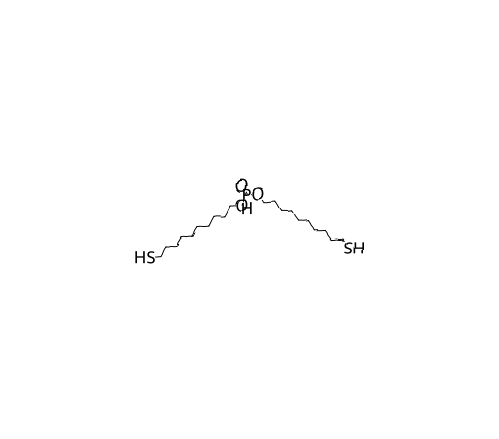 O=[PH](OCCCCCCCCCCS)OCCCCCCCCCCS